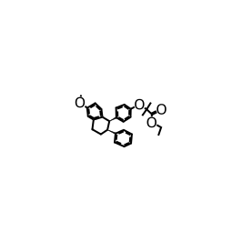 CCOC(=O)C(C)(C)Oc1ccc([C@@H]2c3ccc(OC)cc3CC[C@@H]2c2ccccc2)cc1